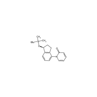 CC(C)(C)[Si](C)(C)O[C@H]1CCc2c1cccc2-n1ccccc1=O